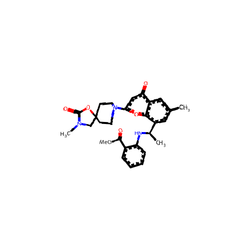 COC(=O)c1ccccc1NC(C)c1cc(C)cc2c(=O)cc(N3CCC4(CC3)CN(C)C(=O)O4)oc12